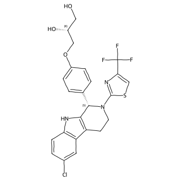 OC[C@@H](O)COc1ccc([C@H]2c3[nH]c4ccc(Cl)cc4c3CCN2c2nc(C(F)(F)F)cs2)cc1